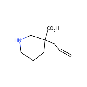 C=CCC1(C(=O)O)CCCNC1